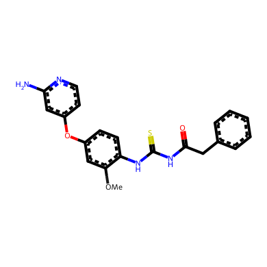 COc1cc(Oc2ccnc(N)c2)ccc1NC(=S)NC(=O)Cc1ccccc1